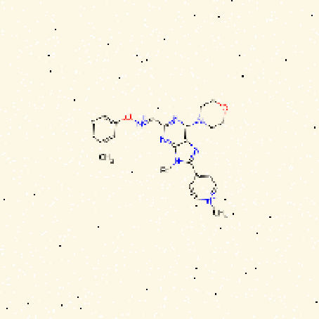 CCn1c(-c2cc[n+](C)cc2)nc2c(N3CCOCC3)nc(/C=N/Oc3cccc(C)c3)nc21